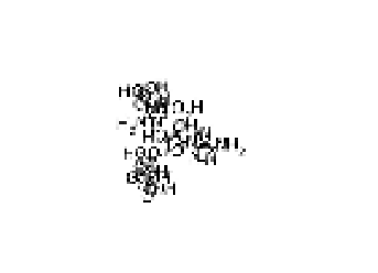 CN(CC(=O)O)C(=N)N.Nc1ncnc2c1ncn2[C@@H]1O[C@H](COP(=O)(O)OP(=O)(O)OP(=O)(O)O)[C@@H](O)[C@H]1O.O=P(O)(O)O